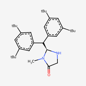 CN1C(=O)CN[C@@H]1C(c1cc(C(C)(C)C)cc(C(C)(C)C)c1)c1cc(C(C)(C)C)cc(C(C)(C)C)c1